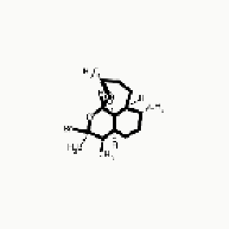 B[C@]1(Br)O[C@@H]2O[C@]3(C)CC[C@H]4[C@H](C)CC[C@@H]([C@H]1C)[C@@]24OO3